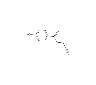 N#CCCC(=O)c1ccc(O)cc1